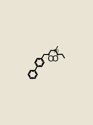 CCC(=O)[C@H](C)CC(=O)Cc1ccc(-c2ccccc2)cc1